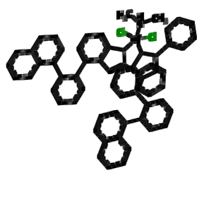 C[SiH](C)[Hf]([Cl])([Cl])([CH]1C(c2ccccc2)=Cc2c(-c3ccccc3-c3cccc4ccccc34)cccc21)[CH]1C(c2ccccc2)=Cc2c(-c3ccccc3-c3cccc4ccccc34)cccc21